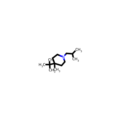 CC(C)CN1CCC(C)(C(C)(C)C)CC1